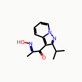 CC(=NO)C(=O)c1c(C(C)C)nn2ccccc12